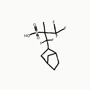 CC(C(F)(F)F)(C(F)(F)C1CC2CCC1C2)S(=O)(=O)O